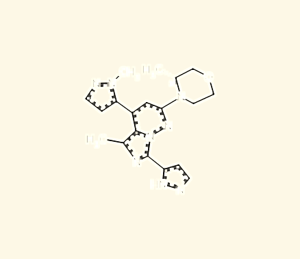 Cc1nc(-c2ccn[nH]2)n2nc(N3CCOC[C@H]3C)cc(-c3ccnn3C)c12